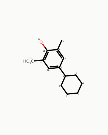 Cc1cc(C2CCCCC2)cc(C(=O)O)c1O